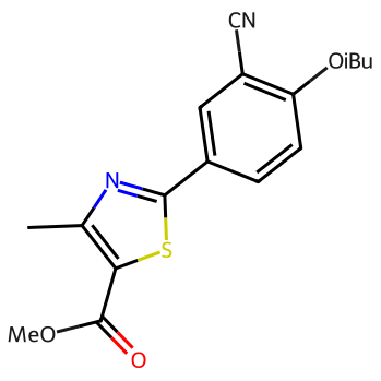 COC(=O)c1sc(-c2ccc(OCC(C)C)c(C#N)c2)nc1C